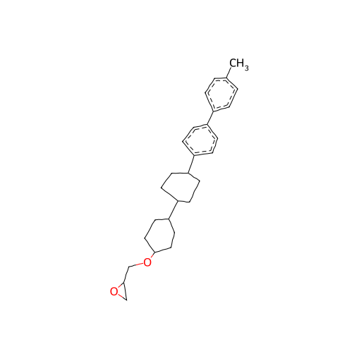 Cc1ccc(-c2ccc(C3CCC(C4CCC(OCC5CO5)CC4)CC3)cc2)cc1